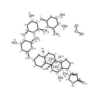 CCOCC.C[C@H]1O[C@@H](O[C@H]2[C@@H](O)C[C@H](O[C@H]3[C@@H](O)C[C@H](O[C@H]4CC[C@@]5(C)[C@H](CC[C@@H]6[C@@H]5C[C@@H](O)[C@]5(C)[C@@H](C7=CC(=O)OC7)CC[C@]65O)C4)O[C@@H]3C)O[C@@H]2C)C[C@H](O)[C@@H]1O